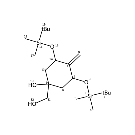 C=C1C(O[Si](C)(C)C(C)(C)C)CC(O)(CO)CC1O[Si](C)(C)C(C)(C)C